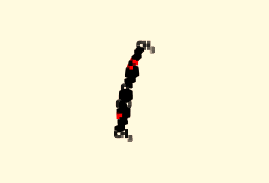 CCCCCCCC1CCC(CCCOc2ccc(OC(=O)C3CCC(CCCCC)CC3)cc2)CC1